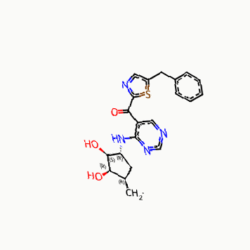 [CH2][C@@H]1C[C@@H](Nc2ncncc2C(=O)c2ncc(Cc3ccccc3)s2)[C@H](O)[C@@H]1O